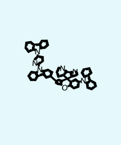 c1cnc2c(c1)C1(c3cc(-c4ccc5c(c4)c4ccccc4n5-c4ccc(-n5c6ccccc6c6ccccc65)cn4)ccc3Oc3ccc(-n4c5ccccc5c5ccccc54)cc31)c1cccnc1-2